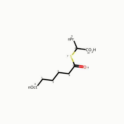 CCCCCCCCCCCCC(=O)SC(CCC)C(=O)O